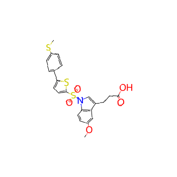 COc1ccc2c(c1)c(CCC(=O)O)cn2S(=O)(=O)c1ccc(-c2ccc(SC)cc2)s1